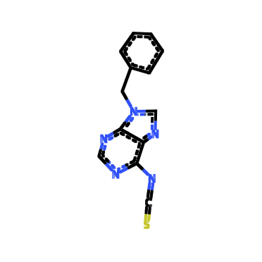 S=C=Nc1ncnc2c1ncn2Cc1ccccc1